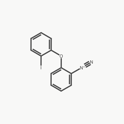 N#[N+]c1ccccc1Oc1ccccc1I